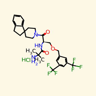 CC(C)(N)C(=O)N[C@H](COCc1cc(C(F)(F)F)cc(C(F)(F)F)c1)C(=O)N1CCC2(CCc3ccccc32)CC1.Cl